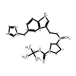 CN(CCc1c[nH]c2ccc(Cn3cncn3)cc12)C1CCN(C(=O)OC(C)(C)C)C1